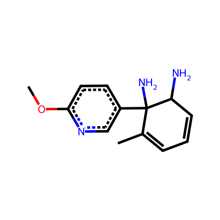 COc1ccc(C2(N)C(C)=CC=CC2N)cn1